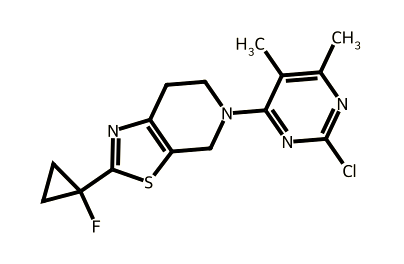 Cc1nc(Cl)nc(N2CCc3nc(C4(F)CC4)sc3C2)c1C